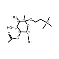 CC(=O)O[C@H]1[C@H](O)[C@@H](O)[C@](C)(OCC[Si](C)(C)C)O[C@@H]1CO